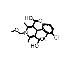 COCN1C(C)=C(C(=O)O)C(c2cccc(Cl)c2Cl)C(C(=O)O)=C1C